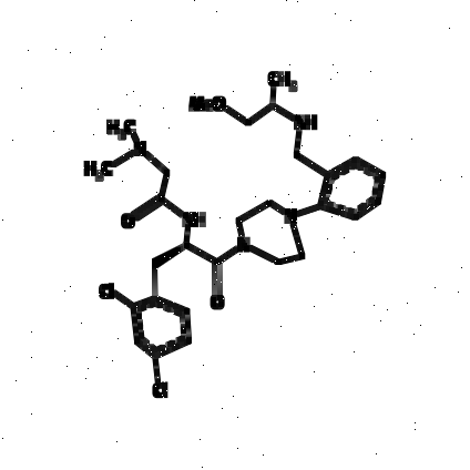 COCC(C)NCc1ccccc1N1CCN(C(=O)[C@@H](Cc2ccc(Cl)cc2Cl)NC(=O)CN(C)C)CC1